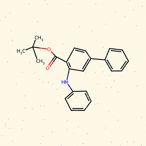 CC(C)(C)OC(=O)c1ccc(-c2ccccc2)cc1Nc1ccccc1